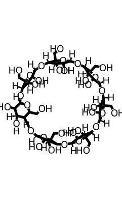 OCC1O[C@@H]2O[C@@H]3C(CO)O[C@H](O[C@@H]4C(CO)O[C@H](O[C@@H]5C(CO)O[C@H](O[C@@H]6C(CO)O[C@H](O[C@@H]7C(CO)O[C@H](O[C@@H]8C(CO)O[C@H](OC1[C@H](O)C2O)C(O)[C@H]8O)C(O)[C@H]7O)C(O)[C@H]6O)C(O)[C@H]5O)C(O)[C@H]4O)C(O)[C@H]3O